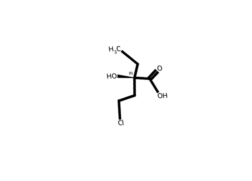 CC[C@@](O)(CCCl)C(=O)O